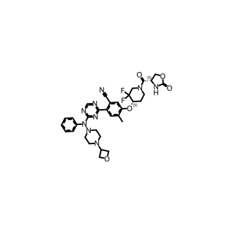 Cc1cc(-c2ncnc(N(c3ccccc3)N3CCN(C4COC4)CC3)n2)c(C#N)cc1O[C@H]1CCN(C(=O)[C@@H]2COC(=O)N2)CC1(F)F